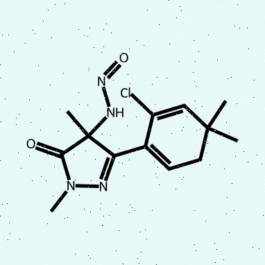 CN1N=C(C2=CCC(C)(C)C=C2Cl)C(C)(NN=O)C1=O